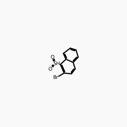 O=[SH](=O)c1c(Br)ccc2ccccc12